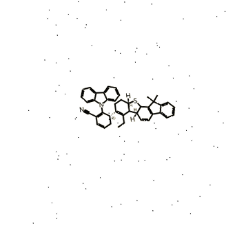 CCC1=C([C@@H]2CC=CC(C#N)=C2n2c3ccccc3c3ccccc32)CC[C@@H]2SC3C4=C(C=C[C@@H]3C12)c1ccccc1C4(C)C